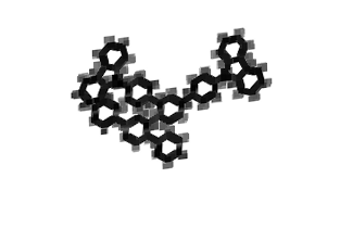 c1ccc(-c2ccc(-c3ccccc3)c(-c3ccc(-c4ccc(-n5c6ccccc6c6ccccc65)cc4)cc3-c3ccc(-n4c5ccccc5c5ccccc54)cc3)c2)cc1